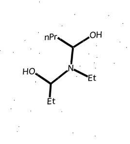 CCCC(O)N(CC)C(O)CC